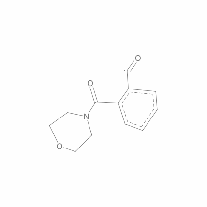 O=[C]c1ccccc1C(=O)N1CCOCC1